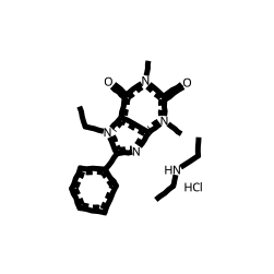 CCNCC.CCn1c(-c2ccccc2)nc2c1c(=O)n(C)c(=O)n2C.Cl